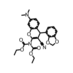 CCOC(=O)N(C(=O)OCC)C1=C(C#N)C(c2cccc3c2OCO3)c2ccc(N(C)C)cc2O1